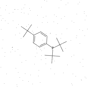 CC(C)(C)c1ccc(P(C(C)(C)C)C(C)(C)C)cc1